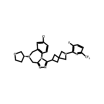 Fc1ccc(C(F)(F)F)nc1N1CC2(CC(c3nnc4n3-c3ccc(Cl)cc3CN([C@H]3CCOC3)C4)C2)C1